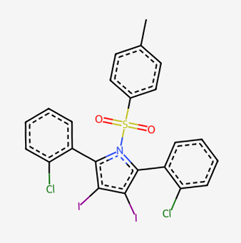 Cc1ccc(S(=O)(=O)n2c(-c3ccccc3Cl)c(I)c(I)c2-c2ccccc2Cl)cc1